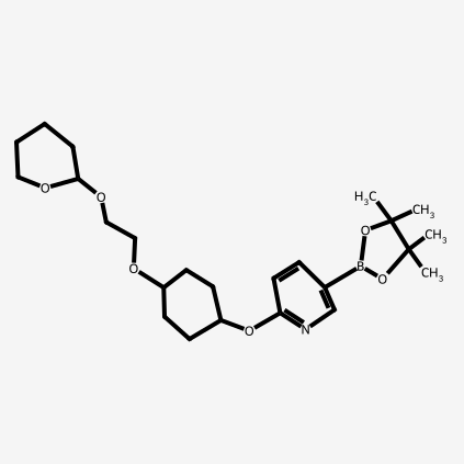 CC1(C)OB(c2ccc(OC3CCC(OCCOC4CCCCO4)CC3)nc2)OC1(C)C